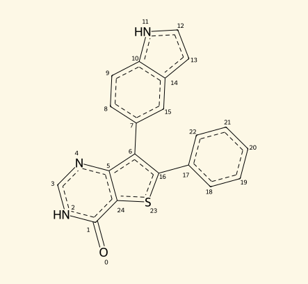 O=c1[nH]cnc2c(-c3ccc4[nH]ccc4c3)c(-c3ccccc3)sc12